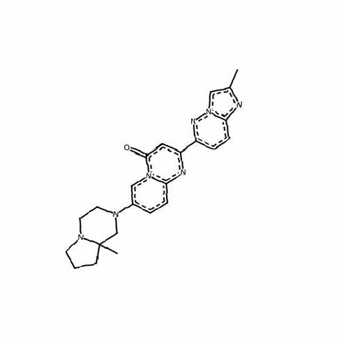 Cc1cn2nc(-c3cc(=O)n4cc(N5CCN6CCCC6(C)C5)ccc4n3)ccc2n1